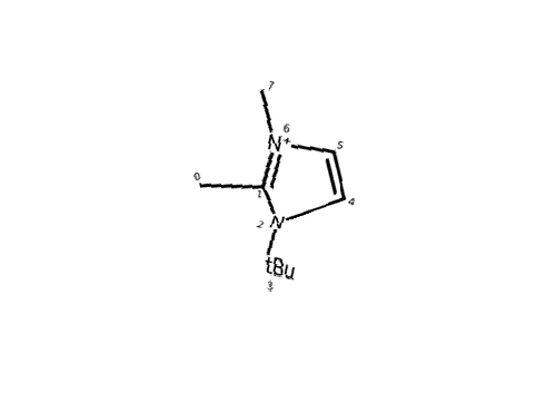 Cc1n(C(C)(C)C)cc[n+]1C